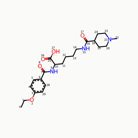 CCOc1ccc(C(=O)NC(CCCCNC(=O)C2CCN(C)CC2)C(=O)O)cc1